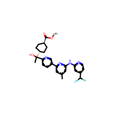 CCCOC(=O)[C@H]1CC[C@H](C(C)(O)c2ccc(-c3cc(C)cc(Nc4cc(C(F)F)ccn4)n3)cn2)CC1